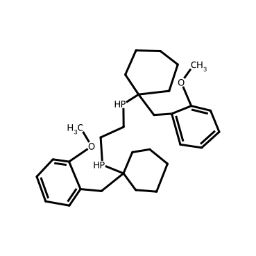 COc1ccccc1CC1(PCCPC2(Cc3ccccc3OC)CCCCC2)CCCCC1